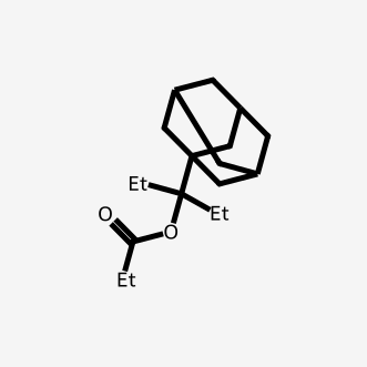 CCC(=O)OC(CC)(CC)C12CC3CC(CC(C3)C1)C2